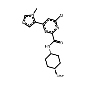 CO[C@H]1CC[C@H](NC(=O)c2nc(Cl)cc(-c3cncn3C)n2)CC1